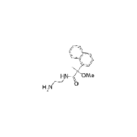 COC(C)(C(=O)NCCN)c1cccc2ccccc12